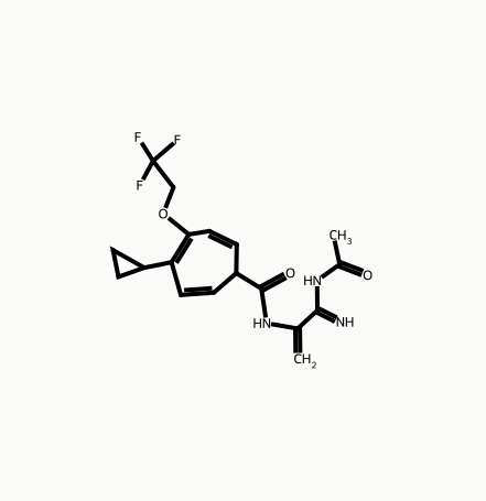 C=C(NC(=O)C1C=CC(OCC(F)(F)F)=C(C2CC2)C=C1)C(=N)NC(C)=O